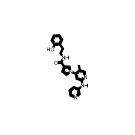 Cc1cnc(Nc2cccnc2)cc1-n1ccc(C(=O)NCCc2ccccc2O)c1